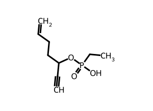 C#CC(CCC=C)OP(=O)(O)CC